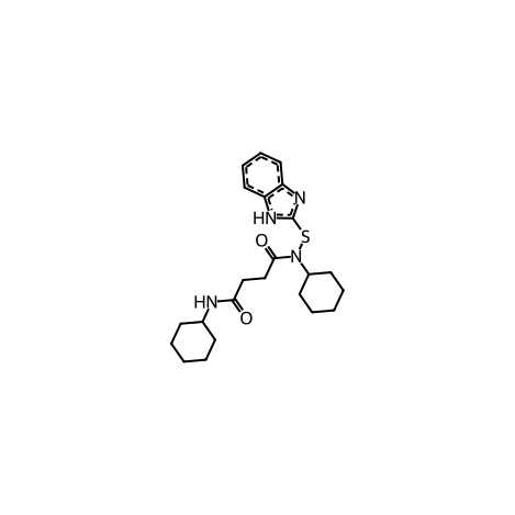 O=C(CCC(=O)N(Sc1nc2ccccc2[nH]1)C1CCCCC1)NC1CCCCC1